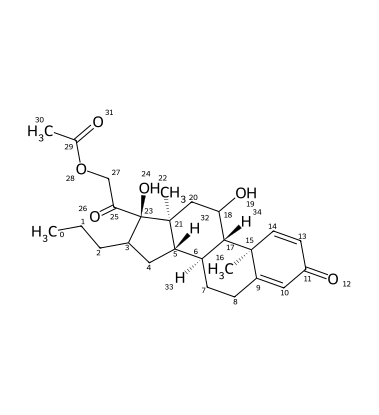 CCCC1C[C@H]2[C@@H]3CCC4=CC(=O)C=C[C@]4(C)[C@H]3C(O)C[C@]2(C)[C@@]1(O)C(=O)COC(C)=O